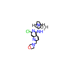 O=C(O)N1[C@@H]2CC[C@H]1C[C@@H](Nc1nc(Cl)cc3nc(CN4CCOCC4)ccc13)C2